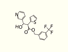 O=C(OCc1cccc(C(F)(F)F)c1)[C@H](c1cccs1)[C@@H](O)c1cccnc1